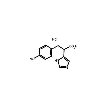 Cl.N#Cc1ccc(CC(C(=O)O)c2cnc[nH]2)cc1